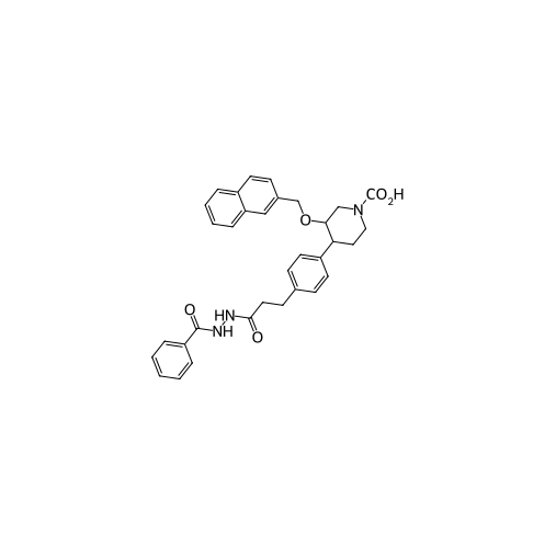 O=C(CCc1ccc(C2CCN(C(=O)O)CC2OCc2ccc3ccccc3c2)cc1)NNC(=O)c1ccccc1